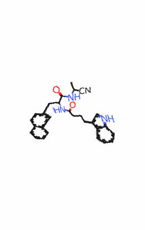 CC(C#N)NC(=O)C(Cc1ccc2ccccc2c1)NC(=O)CCCc1c[nH]c2ccccc12